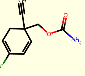 C#CC1(COC(N)=O)C=CC(F)=CC1